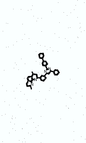 Cc1ccc2ccc3c(C)cc(-c4cccc(-c5cc(-c6ccccc6)nc(-c6ccc(-c7ccccc7)cc6)n5)c4)nc3c2n1